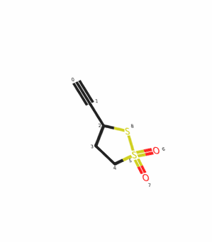 C#CC1CCS(=O)(=O)S1